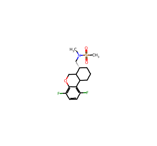 CN(C[C@@H]1CCCC2c3c(F)ccc(F)c3OCC21)S(C)(=O)=O